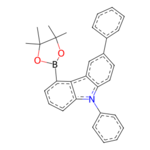 CC1(C)OB(c2cccc3c2c2cc(-c4ccccc4)ccc2n3-c2ccccc2)OC1(C)C